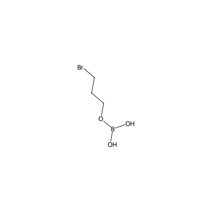 OB(O)OCCCBr